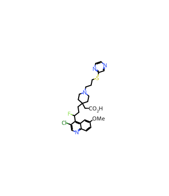 COc1ccc2ncc(Cl)c(C(F)CCC3(CC(=O)O)CCN(CCCSc4cnccn4)CC3)c2c1